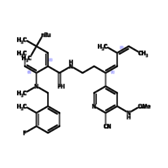 C/C=C(C)\C=C(/CCNC(=P)C(=C/C(C)(C)CCCC)/C(=C\C)N(C)Cc1cccc(F)c1C)c1cnc(C#N)c(NOC)c1